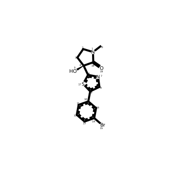 CN1CC[C@@](O)(c2ncc(-c3cccc(Br)c3)s2)C1=O